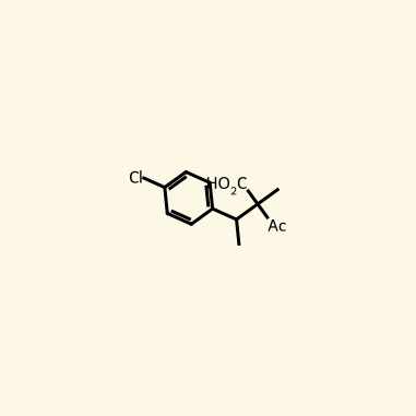 CC(=O)C(C)(C(=O)O)C(C)c1ccc(Cl)cc1